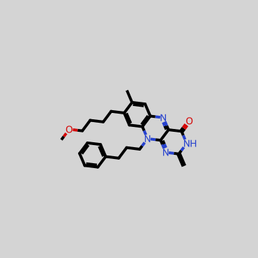 C=c1nc2c(c(=O)[nH]1)=Nc1cc(C)c(CCCCOC)cc1N2CCCc1ccccc1